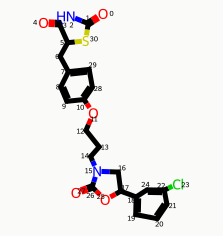 O=C1NC(=O)C(Cc2ccc(OCCCN3CC(c4cccc(Cl)c4)OC3=O)cc2)S1